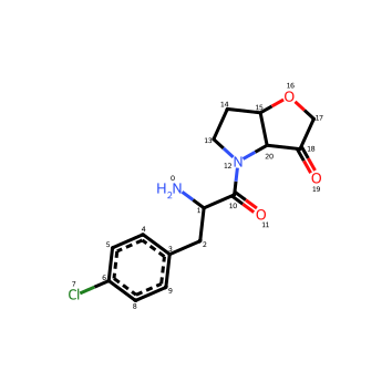 NC(Cc1ccc(Cl)cc1)C(=O)N1CCC2OCC(=O)C21